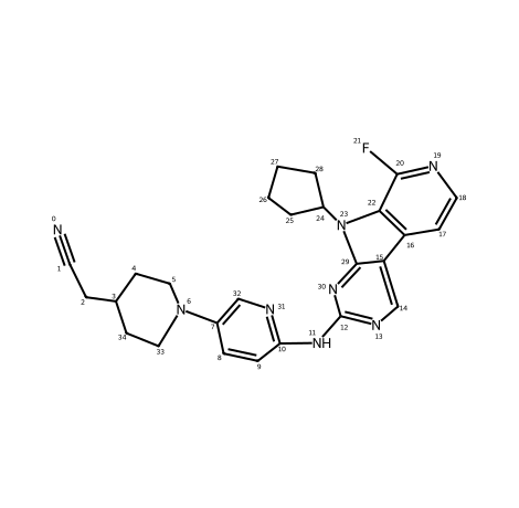 N#CCC1CCN(c2ccc(Nc3ncc4c5ccnc(F)c5n(C5CCCC5)c4n3)nc2)CC1